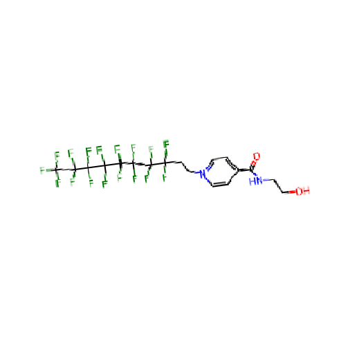 O=C(NCCO)c1cc[n+](CCC(F)(F)C(F)(F)C(F)(F)C(F)(F)C(F)(F)C(F)(F)C(F)(F)C(F)(F)F)cc1